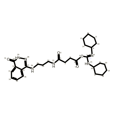 O=C(CCC(=O)O/C(=N\C1CCCCC1)NC1CCCCC1)NCCCNc1n[nH]c(=O)c2ccccc12